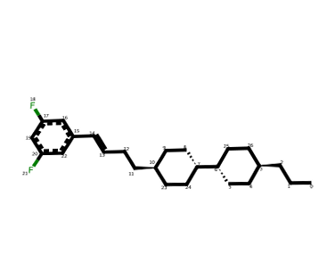 CCC[C@H]1CC[C@H]([C@H]2CC[C@H](CCC=Cc3cc(F)cc(F)c3)CC2)CC1